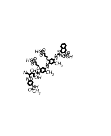 CC(=O)Nc1ccc2nc3c(C#N)c(C)c(N=Nc4cc(C)c(N=Nc5cc(C)c(N=Nc6nc7c(S(=O)(=O)O)cc8ccccc8c7s6)cc5SCCCS(=O)(=O)O)cc4OCCCS(=O)(=O)O)c(O)n3c2c1